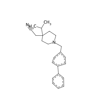 CC(C)C1(CC#N)CCN(Cc2ccc(-c3ccccc3)cc2)CC1